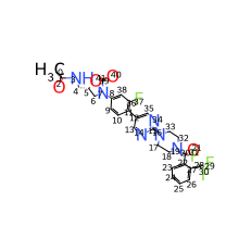 CC(=O)NC[C@H]1CN(c2ccc(-c3cnc(N4CCN(C(=O)c5ccccc5C(F)(F)F)CC4)nc3)c(F)c2)C(=O)O1